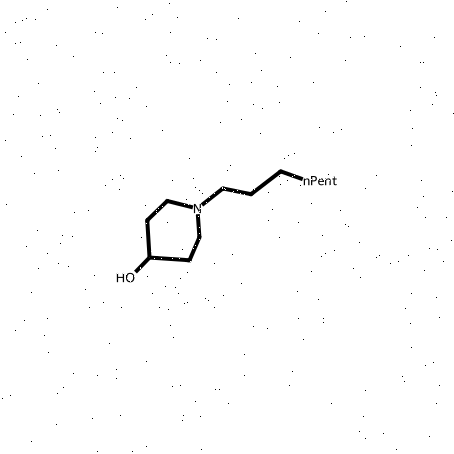 CCCCCCCCN1CCC(O)CC1